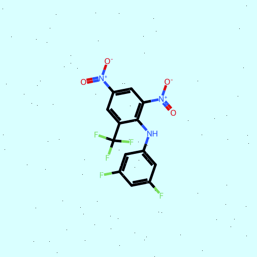 O=[N+]([O-])c1cc([N+](=O)[O-])c(Nc2cc(F)cc(F)c2)c(C(F)(F)F)c1